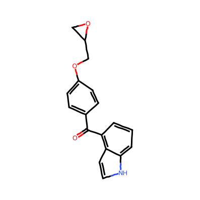 O=C(c1ccc(OCC2CO2)cc1)c1cccc2[nH]ccc12